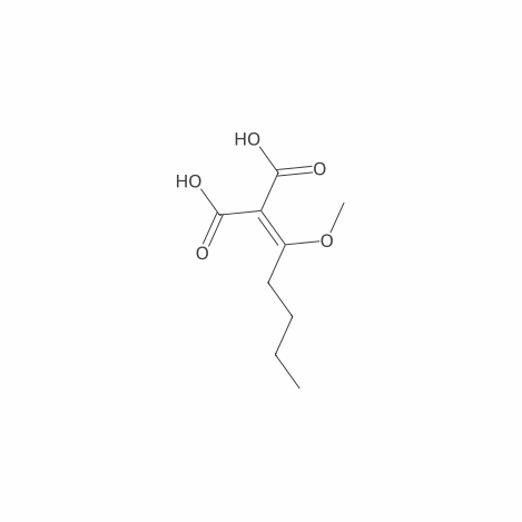 CCCCC(OC)=C(C(=O)O)C(=O)O